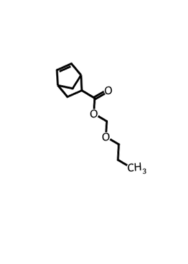 CCCOCOC(=O)C1CC2C=CC1C2